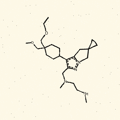 CCOCC1(COC)CCC(c2c(CN(C)CCNC)nn3c2CC2(CC2)C3)CC1